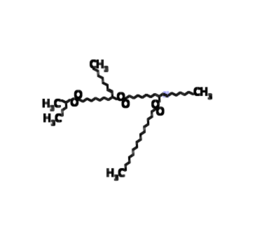 CCCCCCCC=CC(CCCCCCCC(=O)OCC(CC)CCCC)COC(=O)CCCCCCCC(/C=C/CCCCCCC)COC(=O)CCCCCCCCCCCCCCCCC